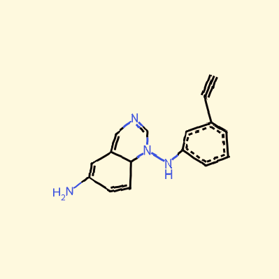 C#Cc1cccc(NN2C=NC=C3C=C(N)C=CC32)c1